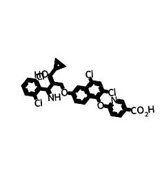 N=C(/C(COc1ccc2c(Oc3ccc(C(=O)O)cn3)c(Cl)cc(Cl)c2c1)=C(\O)C1CC1)c1c(Cl)cccc1Cl